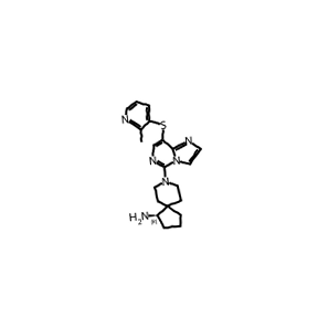 Cc1ncccc1Sc1cnc(N2CCC3(CCC[C@H]3N)CC2)n2ccnc12